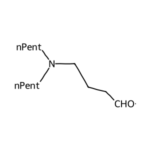 CCCCCN(CCC[C]=O)CCCCC